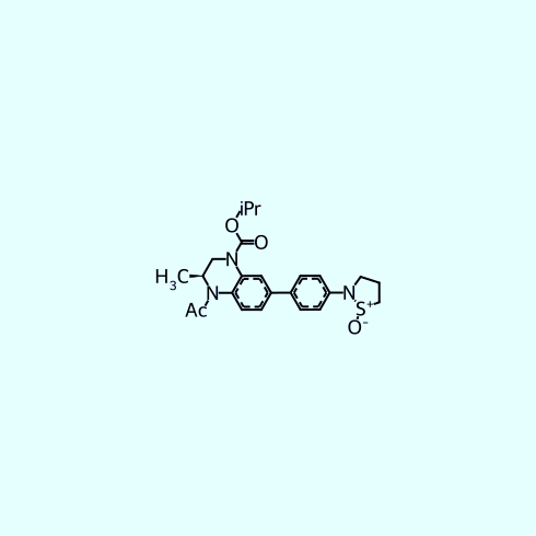 CC(=O)N1c2ccc(-c3ccc(N4CCC[S+]4[O-])cc3)cc2N(C(=O)OC(C)C)C[C@@H]1C